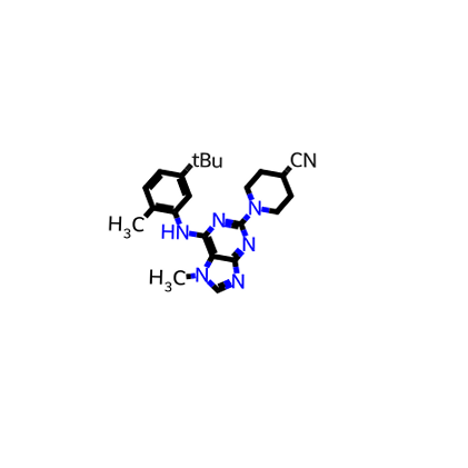 Cc1ccc(C(C)(C)C)cc1Nc1nc(N2CCC(C#N)CC2)nc2ncn(C)c12